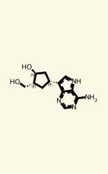 Nc1ncnc2c([C@@H]3C[C@H](CO)[C@@H](O)C3)c[nH]c12